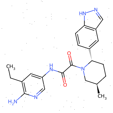 CCc1cc(NC(=O)C(=O)N2C[C@H](C)CC[C@H]2c2ccc3[nH]ncc3c2)cnc1N